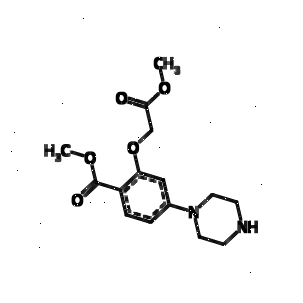 COC(=O)COc1cc(N2CCNCC2)ccc1C(=O)OC